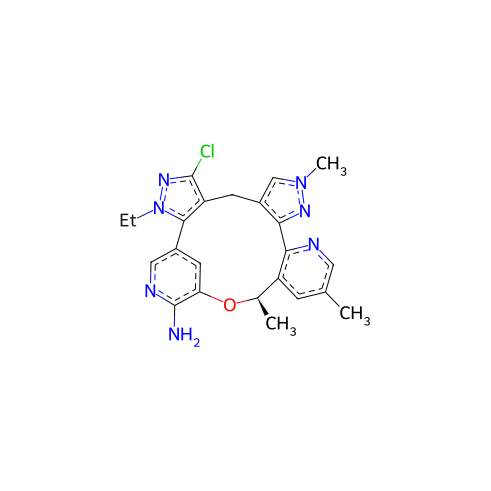 CCn1nc(Cl)c2c1-c1cnc(N)c(c1)O[C@H](C)c1cc(C)cnc1-c1nn(C)cc1C2